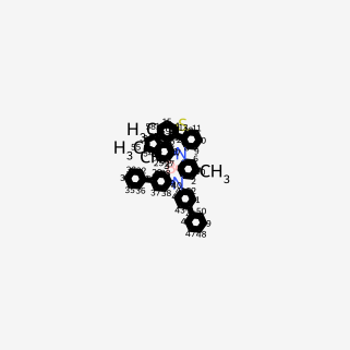 Cc1cc2c3c(c1)N(c1cccc4sc5ccccc5c14)c1cc4c(cc1B3c1cc(-c3ccccc3)ccc1N2c1ccc(-c2ccccc2)cc1)C(C)(C)CC4(C)C